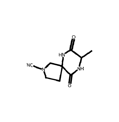 CC1NC(=O)C2(CCN(C#N)C2)NC1=O